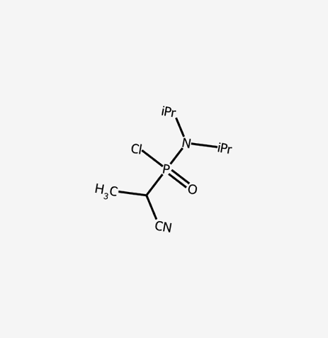 CC(C)N(C(C)C)P(=O)(Cl)C(C)C#N